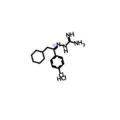 Cl.N=C(N)N/N=C(/CC1CCCCC1)c1ccc(Cl)cc1